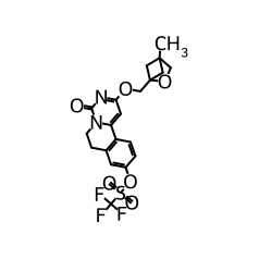 CC12COC(COc3cc4n(c(=O)n3)CCc3cc(OS(=O)(=O)C(F)(F)F)ccc3-4)(C1)C2